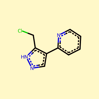 ClCc1[nH]ncc1-c1ccccn1